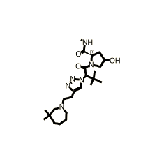 CNC(=O)[C@H]1CC(O)CN1C(=O)C(n1cc(CCN2CCCCC(C)(C)C2)nn1)C(C)(C)C